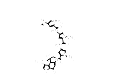 Cc1csc2c1[C@]13C[C@H]1CN(C(=O)c1cc(NC(=O)c4cc(NC(=O)c5cc([N+](=O)[O-])cn5C)cn4C)cn1C)C3=CC2=O